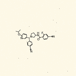 CC(C)Oc1ccc([C@@H](c2ccc(C#N)cc2)N2CCC(NC(=O)c3ccc(C#N)cc3F)C2)cn1